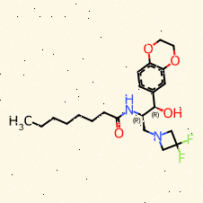 CCCCCCCC(=O)N[C@H](CN1CC(F)(F)C1)[C@H](O)c1ccc2c(c1)OCCO2